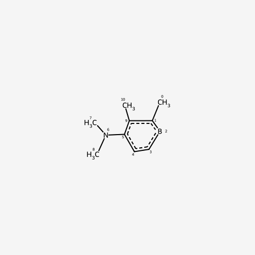 Cc1bccc(N(C)C)c1C